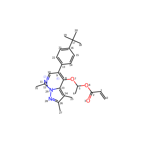 C=CC(=O)OC(C)O/C(=C(/C=N\C)c1ccc(C(C)(C)C)cc1)c1c(C)c(C)nn1CC